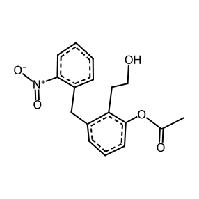 CC(=O)Oc1cccc(Cc2ccccc2[N+](=O)[O-])c1CCO